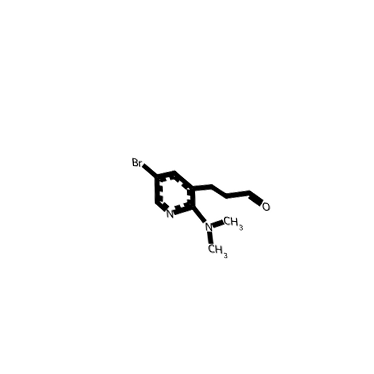 CN(C)c1ncc(Br)cc1CCC=O